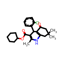 CC1=C(C(=O)OC2CCCCC2)C(c2ccccc2Cl)C2=C(CC(C)(C)CC2=O)N1